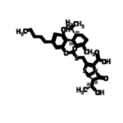 C=C(C)[C@@H]1CCC(C)=C[C@H]1c1c(O)cc(CCCCC)cc1OC(=O)SCC1=C(C(=O)O)N2C(=O)[C@H]([C@@H](C)O)C2S1